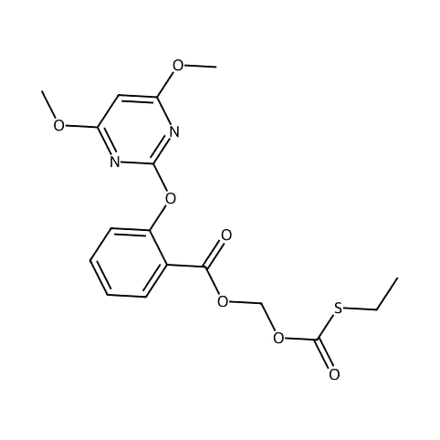 CCSC(=O)OCOC(=O)c1ccccc1Oc1nc(OC)cc(OC)n1